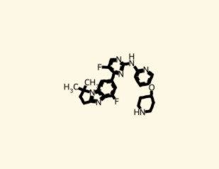 CC1(C)CCc2nc3c(F)cc(-c4nc(Nc5ccc(OC6CCNCC6)cn5)ncc4F)cc3n21